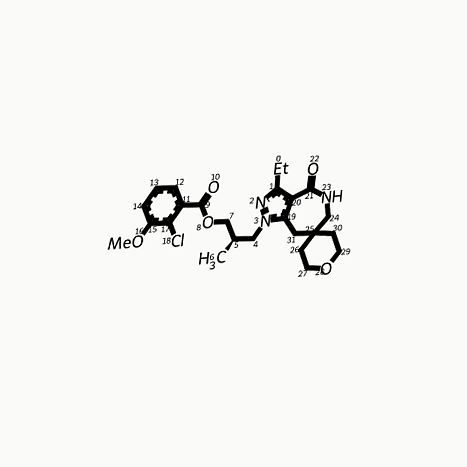 CCc1nn(C[C@@H](C)COC(=O)c2cccc(OC)c2Cl)c2c1C(=O)NCC1(CCOCC1)C2